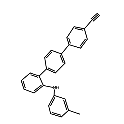 C#Cc1ccc(-c2ccc(-c3ccccc3Nc3cccc(C)c3)cc2)cc1